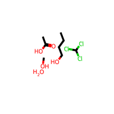 CC(=O)O.CCCCO.CO.ClC(Cl)Cl.O